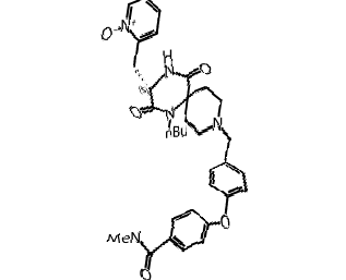 CCCCN1C(=O)[C@H](Cc2cccc[n+]2[O-])NC(=O)C12CCN(Cc1ccc(Oc3ccc(C(=O)NC)cc3)cc1)CC2